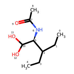 CCC(CC)[C@H](NC(C)=O)C(O)O